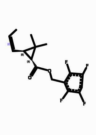 C/C=C\[C@@H]1[C@@H](C(=O)OCc2c(F)c(F)cc(F)c2F)C1(C)C